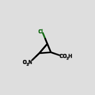 O=C(O)C1C(Cl)C1[N+](=O)[O-]